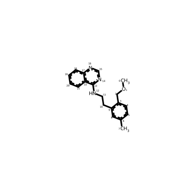 COCc1ccc(C)cc1CCNc1ncnc2ccccc12